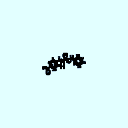 CC(=O)[C@H]1CC[C@H](CNC(=O)OCc2ccccc2)CC1